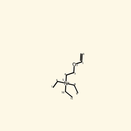 C=COCC[N+](CC)(CC)CC